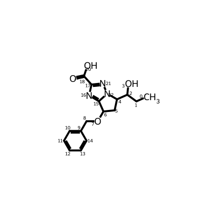 CCC(O)C1CC(OCc2ccccc2)c2nc(C(=O)O)nn21